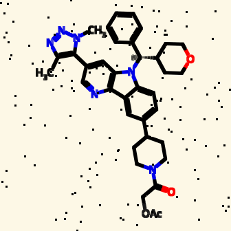 CC(=O)OCC(=O)N1CCC(c2ccc3c(c2)c2ncc(-c4c(C)nnn4C)cc2n3[C@H](c2ccccc2)C2CCOCC2)CC1